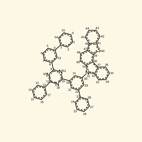 c1ccc(-c2cccc(-c3nc(-c4ccccc4)nc(-c4cc(-c5ccccc5)cc(-n5c6ccccc6c6c7sc8ccccc8c7ccc65)c4)n3)c2)cc1